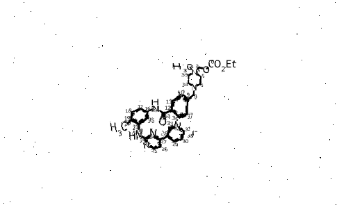 CCOC(=O)OC[N+]1(C)CCN(Cc2ccc(C(=O)Nc3ccc(C)c(Nc4nccc(-c5cccnc5)n4)c3)cc2)CC1.[I-]